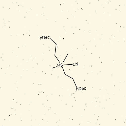 CCCCCCCCCCCC[SH](C)(C)(C#N)CCCCCCCCCCCC